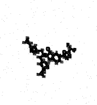 O=C1c2cc(-c3nnc(C(F)F)o3)ccc2CN1N(Cc1cnn(C2CC2)c1)Cc1cnn(C2CC2)c1